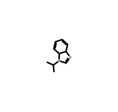 CC(C)N1C=NC2C=CC=CC21